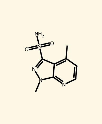 Cc1ccnc2c1c(S(N)(=O)=O)nn2C